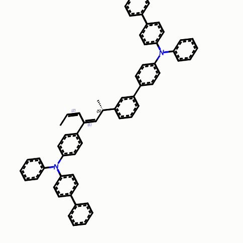 C/C=C\C(=C/[C@H](C)c1cccc(-c2ccc(N(c3ccccc3)c3ccc(-c4ccccc4)cc3)cc2)c1)c1ccc(N(c2ccccc2)c2ccc(-c3ccccc3)cc2)cc1